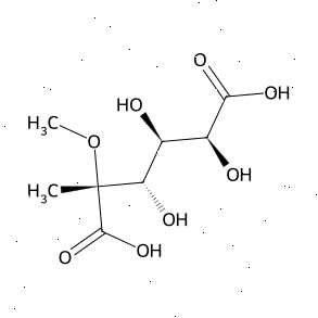 CO[C@@](C)(C(=O)O)[C@@H](O)[C@@H](O)[C@H](O)C(=O)O